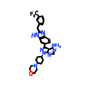 Nc1ncnc2c1c(-c1ccc3nc(Cc4cccc(C(F)(F)F)c4)[nH]c3c1)nn2C1CCC(N2CCOCC2)CC1